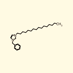 CCCCCCCCCCCCCCCCN1C=CN(Cc2ccccc2)C1